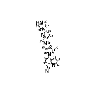 C[C@@H]1CN(c2ccc(C#N)c3ncccc23)C[C@H](CN2Cc3ccc(N4CCNCC4)nc3C2)O1